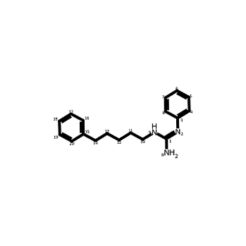 NC(=Nc1ccccc1)NCCCCCc1ccccc1